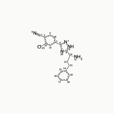 N#Cc1ccc(-c2n[nH]c([C@H](N)CCc3ccccc3)n2)cc1Cl